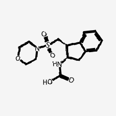 O=C(O)N[C@@H]1Cc2ccccc2[C@@H]1CS(=O)(=O)N1CCOCC1